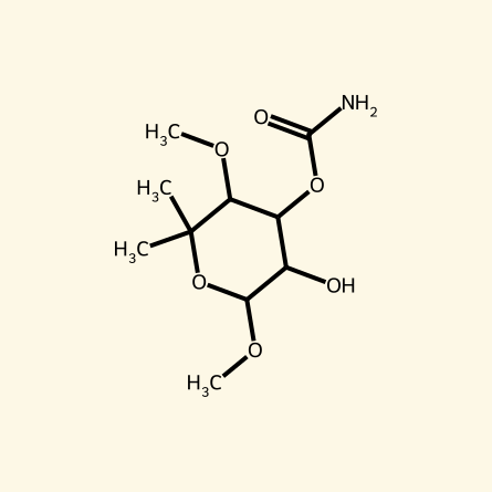 COC1OC(C)(C)C(OC)C(OC(N)=O)C1O